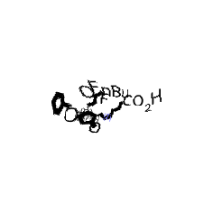 CCCCC(F)(F)C(=O)CC[C@H]1[C@H](OCc2ccccc2)CC(=O)[C@@H]1C/C=C\CCCC(=O)O